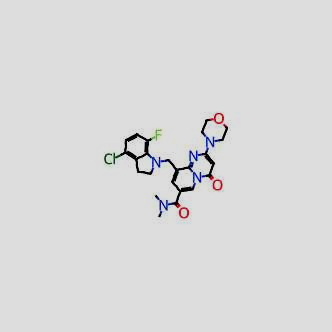 CN(C)C(=O)c1cc(CN2CCc3c(Cl)ccc(F)c32)c2nc(N3CCOCC3)cc(=O)n2c1